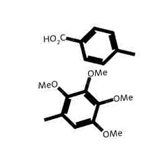 COc1cc(C)c(OC)c(OC)c1OC.Cc1ccc(C(=O)O)cc1